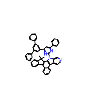 CC1(C)c2ccccc2-c2c1c1c(c3ccccc23)c2ccncc2n1-c1nc(-c2ccccc2)cc(-c2cc(-c3ccccc3)cc(-c3ccccc3)c2)n1